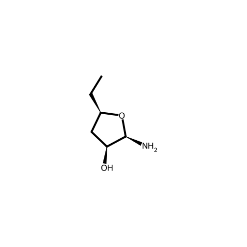 CC[C@@H]1C[C@H](O)[C@H](N)O1